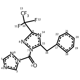 O=C(n1cncn1)n1nc(C(F)(F)C(F)(F)F)nc1Cc1ccccc1